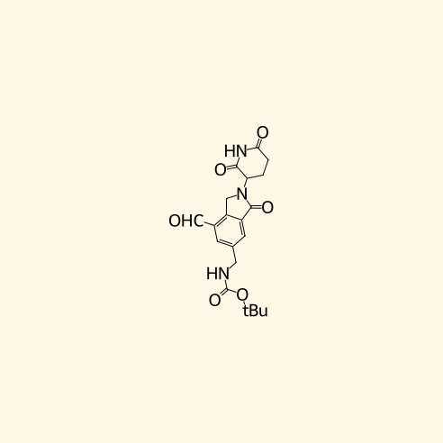 CC(C)(C)OC(=O)NCc1cc(C=O)c2c(c1)C(=O)N(C1CCC(=O)NC1=O)C2